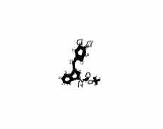 CC(C)(C)OC(=O)NC1CC(Cc2ccc(Cl)c(Cl)c2)c2ccccc21